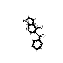 O=C(c1ccccc1)c1cnc2[nH]ccc2c1Cl